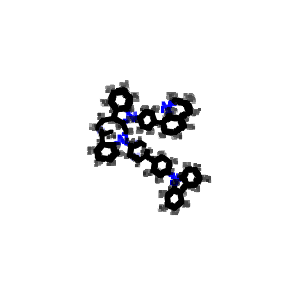 C=C(/C=C\C(=C/C)N1CC2C(C/C=C(\C)c3ccccc31)c1ccccc1N2c1ccc(-c2cccc3cccnc23)cc1)c1ccc(-n2c3ccccc3c3ccccc32)cc1